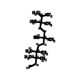 C=C(C(F)(F)F)C(C)(C)CCC(C)(CCC(C)(C)C(C)(C)CF)C(C)(C)C